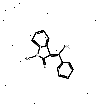 CN1C(=O)C(=C(N)c2ccccc2)c2ccccc21